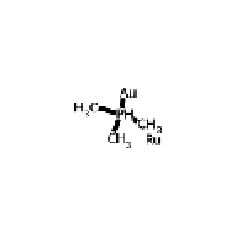 C[PH](C)(C)[Au].[Ru]